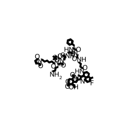 CC[C@@]1(O)C(=O)OCc2c1cc1n(c2=O)Cc2c-1nc1cc(F)c(C)c3c1c2[C@@H](NC(=O)CCCNC(=O)CNC(=O)[C@H](Cc1ccccc1)NC(=O)CNC(=O)CN(C(=O)OC(C)(C)C)C(=O)[C@H](CCCCN)NC(=O)CCCCCN1C(=O)C=CC1=O)CC3